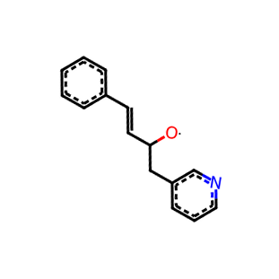 [O]C(C=Cc1ccccc1)Cc1cccnc1